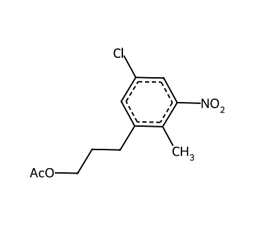 CC(=O)OCCCc1cc(Cl)cc([N+](=O)[O-])c1C